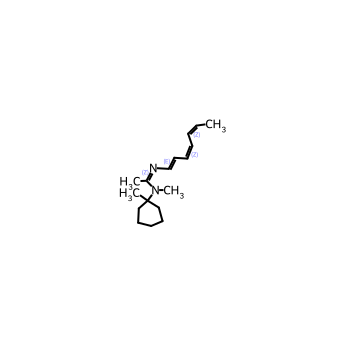 C\C=C/C=C\C=C\N=C(\C)N(C)C1(C)CCCCC1